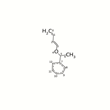 C=CC=COC(C)c1ccccc1